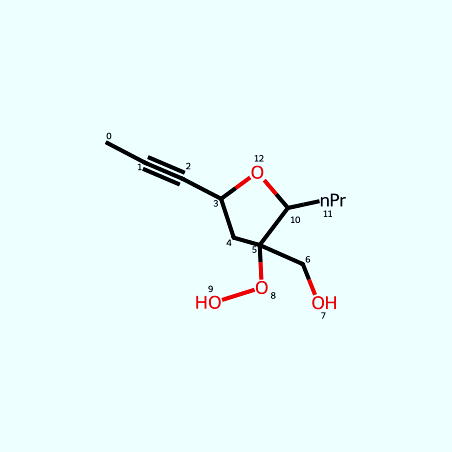 CC#CC1CC(CO)(OO)C(CCC)O1